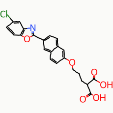 O=C(O)C(CCCOc1ccc2cc(-c3nc4cc(Cl)ccc4o3)ccc2c1)C(=O)O